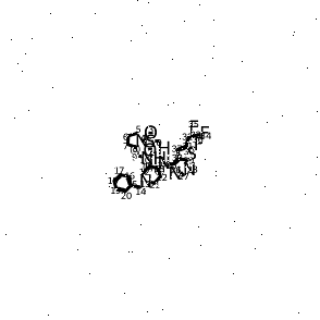 CS(=O)(=O)N1CCC[C@H]1CN[C@@H]1CN(Cc2ccccc2)CC[C@H]1Nc1ncnc2sc(CC(F)(F)F)cc12